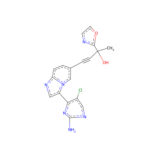 CC(O)(C#Cc1ccc2ncc(-c3nc(N)ncc3Cl)n2c1)c1ncco1